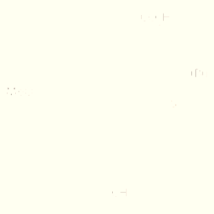 COc1ccc(CC(=O)O)cc1-c1ccc(C)cc1CSC(C)(C)C